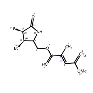 C=C(/C=C(\C)C(=N)OCC1NC(=O)[C@H](F)[C@@H]1CC)OC